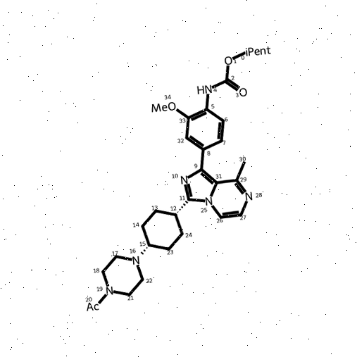 CCCC(C)OC(=O)Nc1ccc(-c2nc([C@H]3CC[C@@H](N4CCN(C(C)=O)CC4)CC3)n3ccnc(C)c23)cc1OC